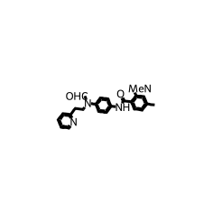 CNc1cc(C)ccc1C(=O)Nc1ccc(N(C=O)CCc2ccccn2)cc1